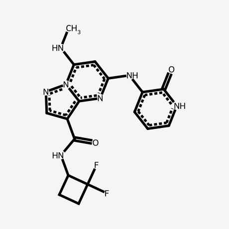 CNc1cc(Nc2ccc[nH]c2=O)nc2c(C(=O)NC3CCC3(F)F)cnn12